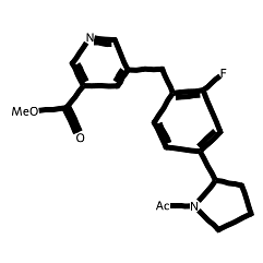 COC(=O)c1cncc(Cc2ccc(C3CCCN3C(C)=O)cc2F)c1